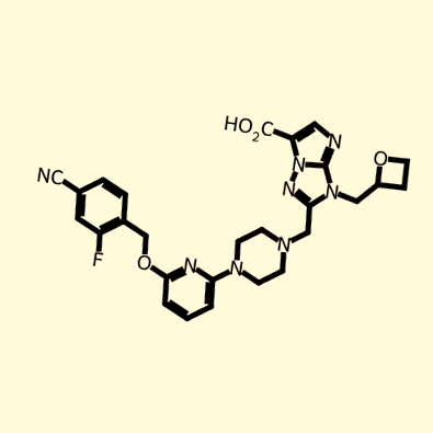 N#Cc1ccc(COc2cccc(N3CCN(Cc4nn5c(C(=O)O)cnc5n4CC4CCO4)CC3)n2)c(F)c1